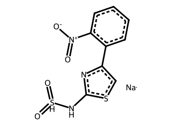 O=[N+]([O-])c1ccccc1-c1csc(N[SH](=O)=O)n1.[Na]